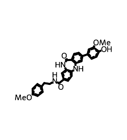 COc1ccc(CCNC(=O)c2ccc3c(c2)NC(=O)c2ccc(-c4ccc(O)c(OC)c4)cc2N3)cc1